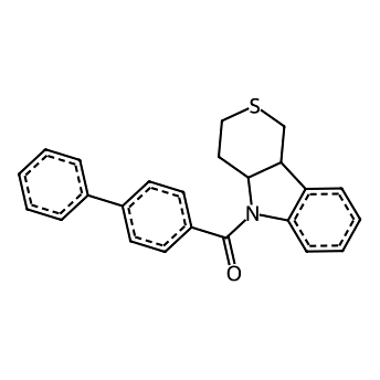 O=C(c1ccc(-c2ccccc2)cc1)N1c2ccccc2C2CSCCC21